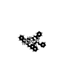 NC(=O)[C@H](CCc1ccccc1)NC(=O)[C@H](Cc1csc2ccccc12)NC(=O)CP(=O)(O)C(Cc1ccccc1)NC(=O)Cc1ccc2ccccc2c1